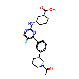 CC(=O)N1CCCC(c2cccc(-c3nc(NC4CCCC(C(=O)O)C4)ncc3F)c2)C1